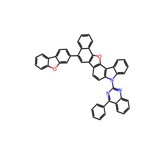 c1ccc(-c2nc(-n3c4ccccc4c4c5oc6c7ccccc7c(-c7ccc8c(c7)oc7ccccc78)cc6c5ccc43)nc3ccccc23)cc1